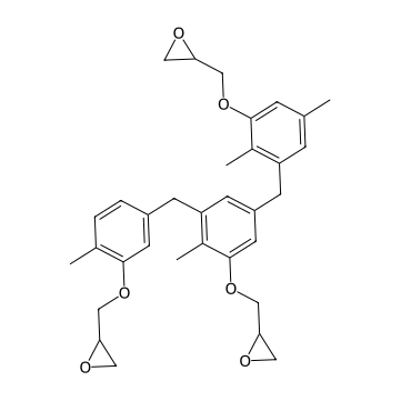 Cc1cc(Cc2cc(Cc3ccc(C)c(OCC4CO4)c3)c(C)c(OCC3CO3)c2)c(C)c(OCC2CO2)c1